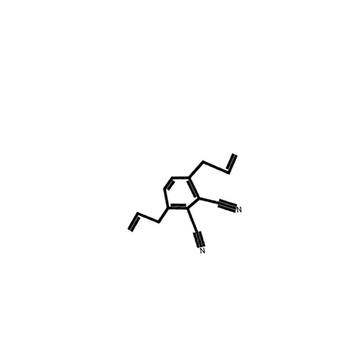 C=CCc1ccc(CC=C)c(C#N)c1C#N